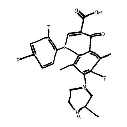 Cc1c(F)c(N2CCNC(C)C2)c(C)c2c1c(=O)c(C(=O)O)cn2-c1ccc(F)cc1F